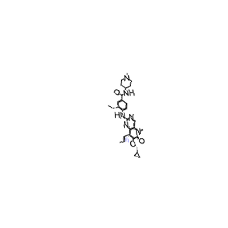 C/C=C/c1c(OCC2CC2)c(=O)n(C)c2cnc(Nc3ccc(C(=O)NC4CCN(C)CC4)cc3CC)nc12